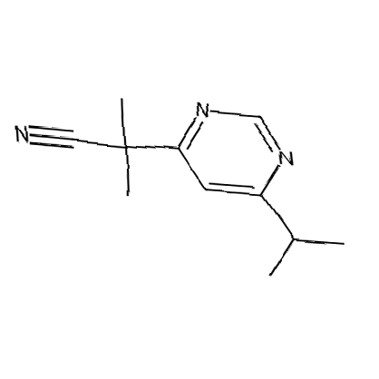 CC(C)c1cc(C(C)(C)C#N)ncn1